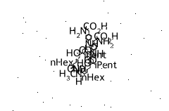 CCCCCCC(C=CCC(O)C(OC(=O)CNc1ccc(CC(N)C(=O)O)cc1)C(C)CCC)C(=O)NC(C)NC(=O)C(C=CCC(O)C(OC(=O)CNc1ccc(CC(N)C(=O)O)cc1)C(C)CCC)CCCCCC